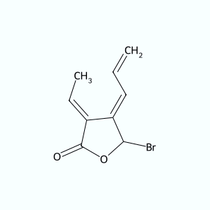 C=C/C=C1\C(=C/C)C(=O)OC1Br